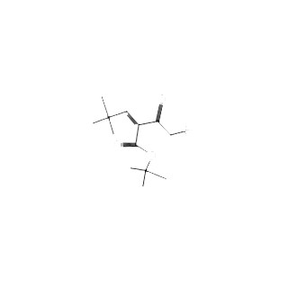 CC(C)(C)C=C(C(=O)CBr)C(=O)OC(C)(C)C